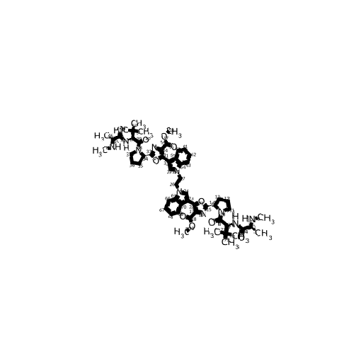 CN[C@@H](C)C(=O)N[C@H](C(=O)N1CCC[C@H]1c1nc(C(=O)OC)c(-c2cn(CCn3cc(-c4oc([C@@H]5CCCN5C(=O)[C@@H](NC(=O)[C@H](C)NC)C(C)(C)C)nc4C(=O)OC)c4ccccc43)c3ccccc23)o1)C(C)(C)C